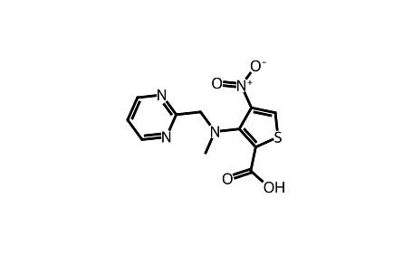 CN(Cc1ncccn1)c1c([N+](=O)[O-])csc1C(=O)O